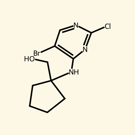 OCC1(Nc2nc(Cl)ncc2Br)CCCC1